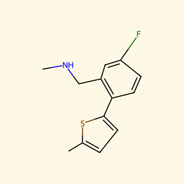 CNCc1cc(F)ccc1-c1ccc(C)s1